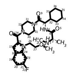 CN[C@@H](C)C(=O)N[C@H](C(=O)N1CCN(C(=O)c2cc3ccc(F)cc3n2CCOC)CC1)C1CCCCC1